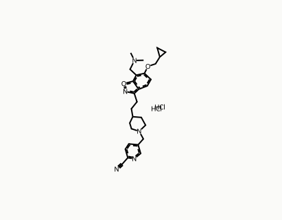 CN(C)Cc1c(OCC2CC2)ccc2c(CCC3CCN(Cc4ccc(C#N)nc4)CC3)noc12.Cl.Cl